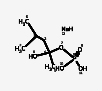 CC(C)CC(C)(O)OP(=O)(O)O.[NaH]